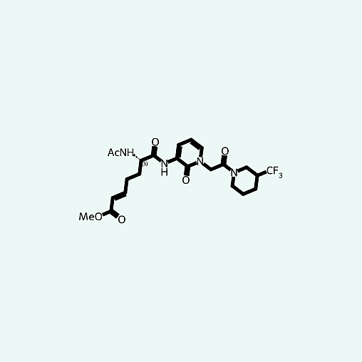 COC(=O)C=CCC[C@H](NC(C)=O)C(=O)Nc1cccn(CC(=O)N2CCCC(C(F)(F)F)C2)c1=O